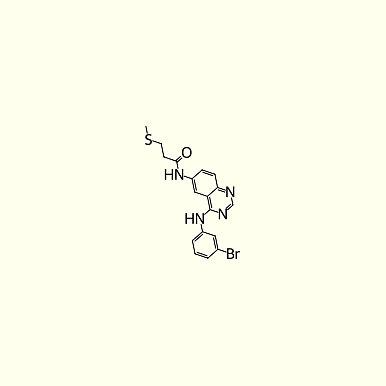 CSCCC(=O)Nc1ccc2ncnc(Nc3cccc(Br)c3)c2c1